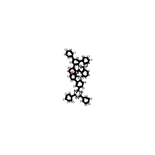 O=C1c2cccc(-n3c4ccccc4c4cc(-c5nc(-c6ccccc6)nc(-c6ccccc6)n5)ccc43)c2C(=O)N1c1c(-c2ccccc2)cc(-c2ccccc2)cc1-c1ccccc1